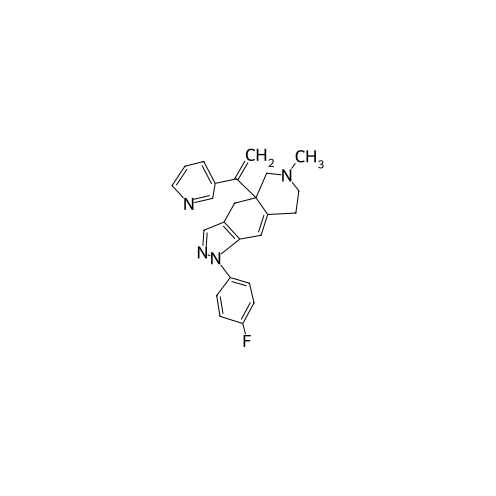 C=C(c1cccnc1)C12Cc3cnn(-c4ccc(F)cc4)c3C=C1CCN(C)C2